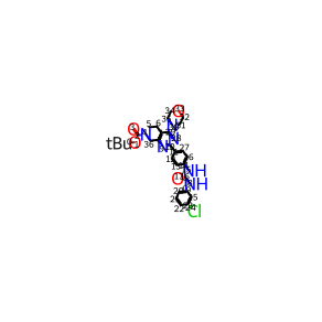 CC(C)(C)OC(=O)N1CCc2c(nc(-c3ccc(NC(=O)Nc4cccc(Cl)c4)cc3)nc2N2CCOCC2)C1